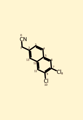 N#CCc1ccc2cc(Cl)c(Cl)cc2c1